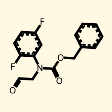 O=CCN(C(=O)OCc1ccccc1)c1cc(F)ccc1F